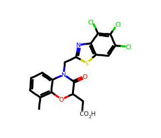 Cc1cccc2c1OC(CC(=O)O)C(=O)N2Cc1nc2c(Cl)c(Cl)c(Cl)cc2s1